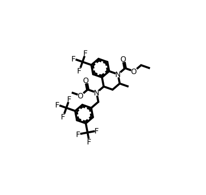 CCOC(=O)N1c2ccc(C(F)(F)F)cc2C(N(Cc2cc(C(F)(F)F)cc(C(F)(F)F)c2)C(=O)OC)CC1C